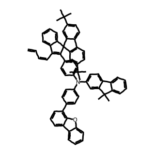 C=C/C=C\C1=C(c2ccc(N(c3ccc(-c4cccc5c4oc4ccccc45)cc3)c3ccc4c(c3)C(C)(C)c3ccccc3-4)cc2)C2(c3ccccc31)c1cc(C(C)(C)C)ccc1-c1ccc(C(C)(C)C)cc12